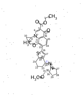 CCOC(=O)c1cn(C2CC2)c2c(OC)c(-c3cc4c(s3)CCC/C4=N\N3CCC[C@@H]3COC)ccc2c1=O